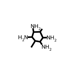 CC1C(N)C(N)C(C)C(N)C1N